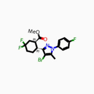 COC(=O)[C@@H]1CC(F)(F)CC[C@H]1c1nn(-c2ccc(F)cc2)c(C)c1Br